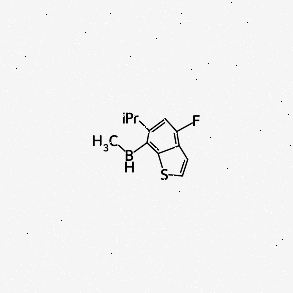 CBc1c(C(C)C)cc(F)c2ccsc12